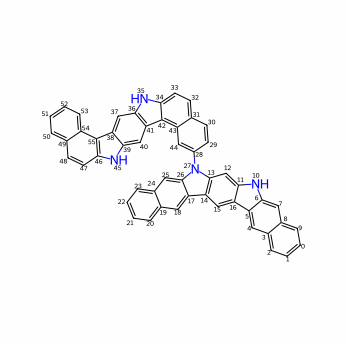 c1ccc2cc3c(cc2c1)[nH]c1cc2c(cc13)c1cc3ccccc3cc1n2-c1ccc2ccc3[nH]c4cc5c(cc4c3c2c1)[nH]c1ccc2ccccc2c15